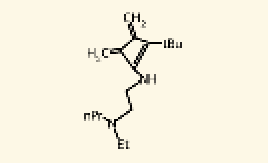 C=C1C(=C)C(C(C)(C)C)=C1NCCN(CC)CCC